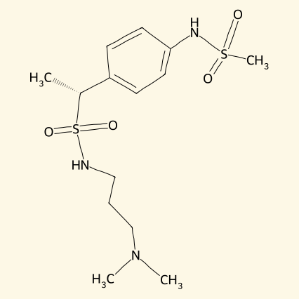 C[C@H](c1ccc(NS(C)(=O)=O)cc1)S(=O)(=O)NCCCN(C)C